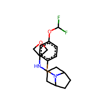 FC(F)Oc1ccc(SN2C3CCC2CC(NC2COC2)C3)cc1